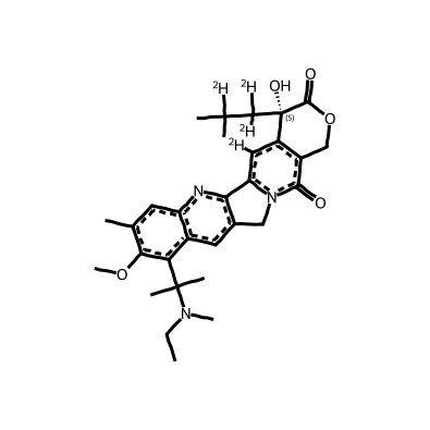 [2H]c1c2c(c(=O)n3c1-c1nc4cc(C)c(OC)c(C(C)(C)N(C)CC)c4cc1C3)COC(=O)[C@]2(O)C([2H])([2H])C([2H])(C)C